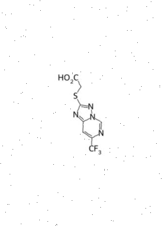 O=C(O)CSc1nc2cc(C(F)(F)F)ncn2n1